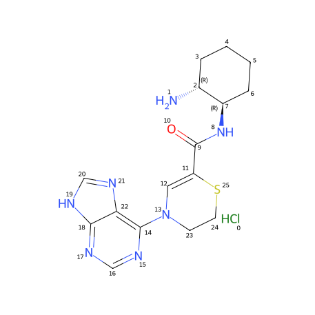 Cl.N[C@@H]1CCCC[C@H]1NC(=O)C1=CN(c2ncnc3[nH]cnc23)CCS1